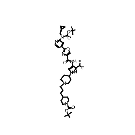 CC(C)(C)OC(=O)N1CCC(CCCN2CCC(n3cc(NC(=O)c4coc(-c5ccnc(N(CC6CC6)C(=O)OC(C)(C)C)c5)n4)c(C(F)F)n3)CC2)CC1